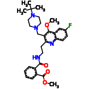 COC(=O)c1ccccc1C(=O)NCCc1nc2ccc(F)cc2c(OC)c1CN1CCN(C(C)(C)C)CC1